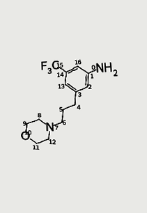 Nc1cc(CCCN2CCOCC2)cc(C(F)(F)F)c1